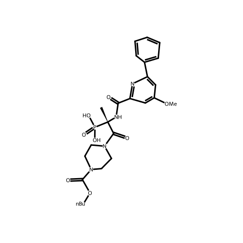 CCCCOC(=O)N1CCN(C(=O)[C@@](C)(NC(=O)c2cc(OC)cc(-c3ccccc3)n2)P(=O)(O)O)CC1